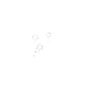 CN(C)c1nc2nc([C@H]3CCO[C@H](c4cnn(C5CC5)c4)C3)nc(Oc3ccccc3)c2s1